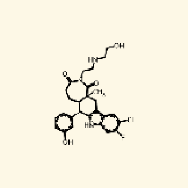 C[C@@]12Cc3c([nH]c4cc(F)c(Cl)cc34)[C@@H](c3cccc(O)c3)C1CCC(=O)N(CCNCCO)C2=O